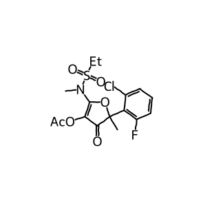 CCS(=O)(=O)N(C)C1=C(OC(C)=O)C(=O)C(C)(c2c(F)cccc2Cl)O1